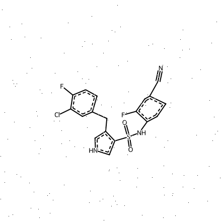 N#Cc1ccc(NS(=O)(=O)c2c[nH]cc2Cc2ccc(F)c(Cl)c2)c(F)c1